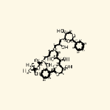 CN(CCCN(C[C@H](O)C[C@@H]1OC(c2ccccc2)OC[C@H]1O)C[C@H](O)[C@@H](O)[C@@H]1OC(c2ccccc2)OC[C@H]1O)C(=O)OC(C)(C)C